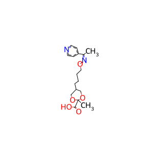 CC(=NOCCCCC1COC(C)(C(=O)O)OC1)c1ccncc1